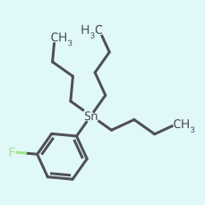 CCC[CH2][Sn]([CH2]CCC)([CH2]CCC)[c]1cccc(F)c1